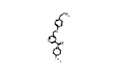 CCc1ccc(SCc2cncc(C(=O)N3CCC(C)CC3)c2)cc1